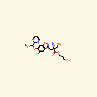 CC(Oc1cc2onc(CC(N)(CO)C(=O)OCCCO)c2cc1Cl)c1ncccn1